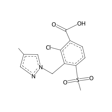 Cc1cnn(Cc2c(S(C)(=O)=O)ccc(C(=O)O)c2Cl)c1